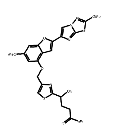 CCCC(=O)CCC(O)c1nc(COc2cc(OC)cc3oc(-c4cn5nc(OC)sc5n4)cc23)cs1